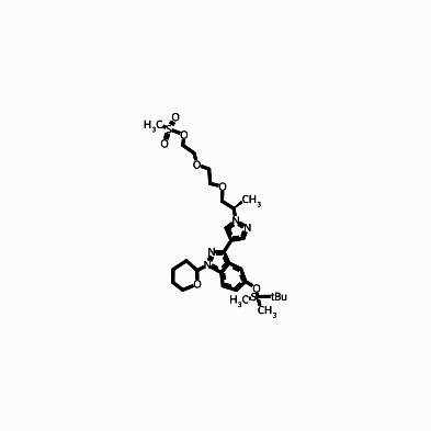 C[C@H](COCCOCCOS(C)(=O)=O)n1cc(-c2nn(C3CCCCO3)c3ccc(O[Si](C)(C)C(C)(C)C)cc23)cn1